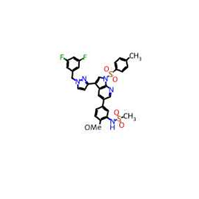 COc1ccc(-c2cnc3c(c2)c(-c2ccn(Cc4cc(F)cc(F)c4)n2)cn3S(=O)(=O)c2ccc(C)cc2)cc1NS(C)(=O)=O